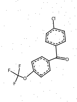 O=C(c1ccc(Cl)cc1)c1ccc(OC(F)(F)F)cc1